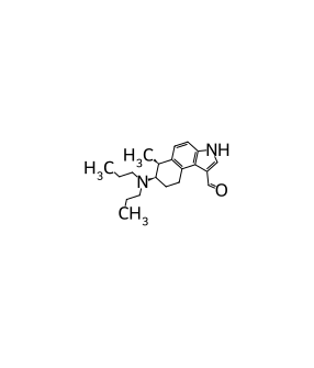 CCCN(CCC)[C@@H]1CCc2c(ccc3[nH]cc(C=O)c23)[C@@H]1C